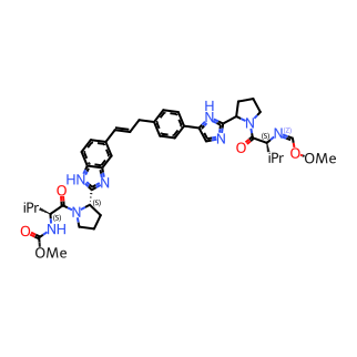 COO/C=N\[C@H](C(=O)N1CCCC1c1ncc(-c2ccc(CC=Cc3ccc4[nH]c([C@@H]5CCCN5C(=O)[C@@H](NC(=O)OC)C(C)C)nc4c3)cc2)[nH]1)C(C)C